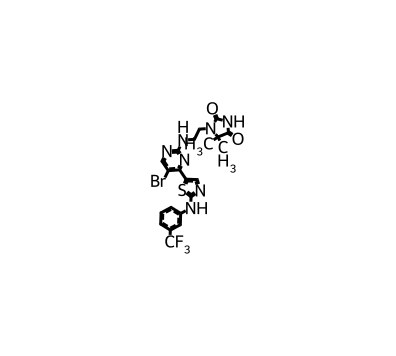 CC1(C)C(=O)NC(=O)N1CCNc1ncc(Br)c(-c2cnc(Nc3cccc(C(F)(F)F)c3)s2)n1